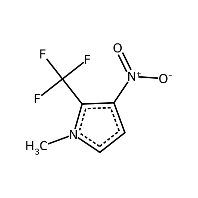 Cn1ccc([N+](=O)[O-])c1C(F)(F)F